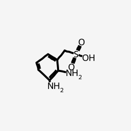 Nc1cccc(CS(=O)(=O)O)c1N